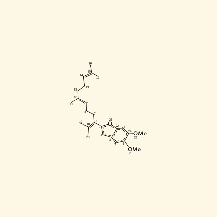 COc1cc2cc(C(CC/C=C(\C)CCC=C(C)C)=C(C)C)oc2cc1OC